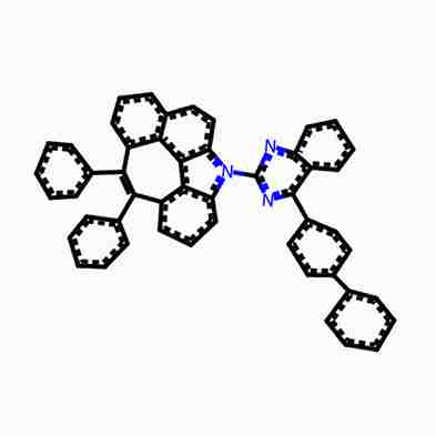 c1ccc(C2=C(c3ccccc3)c3cccc4c3c3c5c2cccc5ccc3n4-c2nc(-c3ccc(-c4ccccc4)cc3)c3ccccc3n2)cc1